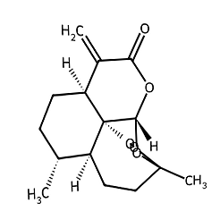 C=C1C(=O)O[C@@H]2OC3(C)CC[C@H]4[C@H](C)CC[C@@H]1[C@@]24OO3